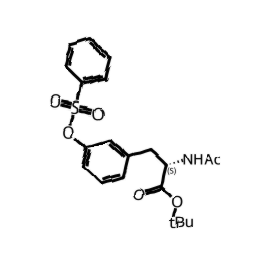 CC(=O)N[C@@H](Cc1cccc(OS(=O)(=O)c2ccccc2)c1)C(=O)OC(C)(C)C